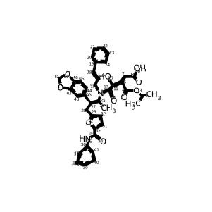 CC(C)OC(=O)C(CC(=O)O)=C(O)C(=O)N(CC=Cc1ccccc1)C(C)C(Cc1ccc(C(=O)Nc2ccccc2)o1)c1ccc2c(c1)OCO2